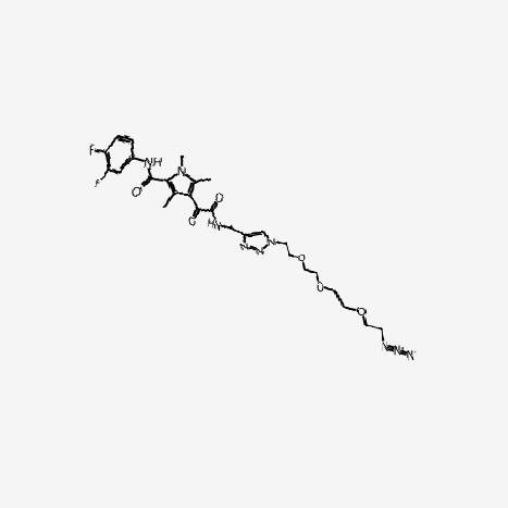 Cc1c(C(=O)C(=O)NCc2cn(CCOCCOCCOCCN=[N+]=[N-])nn2)c(C)n(C)c1C(=O)Nc1ccc(F)c(F)c1